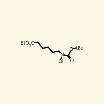 CCOC(=O)CCCCCN(O)C(=O)OC(C)(C)C